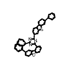 c1ccc(-c2ccc3c(c2)sc2cc(-c4nc(-c5ccccc5)nc(-c5cccc6oc7ccc(-c8ccccc8)cc7c56)n4)ccc23)cc1